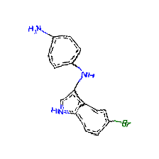 Nc1ccc(Nc2c[nH]c3ccc(Br)cc23)cc1